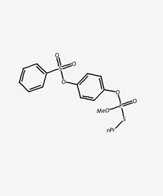 CCCSP(=O)(OC)Oc1ccc(OS(=O)(=O)c2ccccc2)cc1